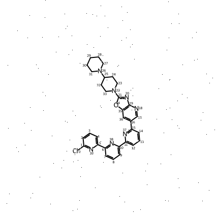 Clc1cccc(-c2cccc(-c3cccc(-c4cnc5nc(N6CCC(N7CCCCC7)CC6)oc5c4)n3)n2)n1